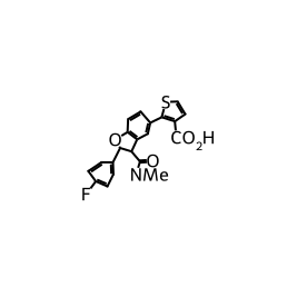 CNC(=O)C1c2cc(-c3sccc3C(=O)O)ccc2OC1c1ccc(F)cc1